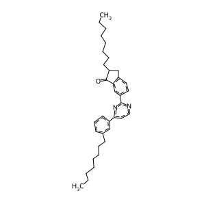 CCCCCCCCc1cccc(-c2ccnc(-c3ccc4c(c3)C(=O)C(CCCCCCCC)C4)n2)c1